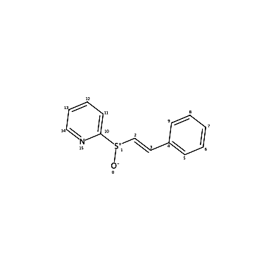 [O-][S+](C=Cc1ccccc1)c1ccccn1